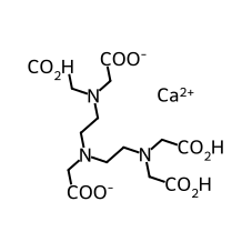 O=C([O-])CN(CCN(CC(=O)[O-])CC(=O)O)CCN(CC(=O)O)CC(=O)O.[Ca+2]